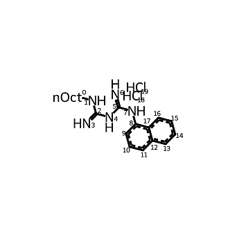 CCCCCCCCNC(=N)NC(=N)Nc1cccc2ccccc12.Cl.Cl